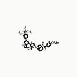 COc1ccc(C(=O)NC23CC4CC5N(c6cnc(-c7cc(-c8ccc(C(C)(C)O)cn8)cn8ncc(C#N)c78)cn6)C(C2)C53C4)cn1